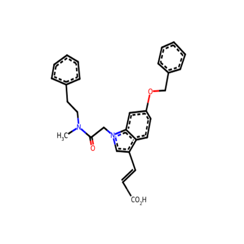 CN(CCc1ccccc1)C(=O)Cn1cc(C=CC(=O)O)c2ccc(OCc3ccccc3)cc21